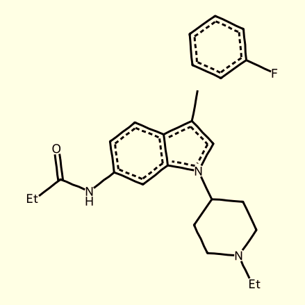 CCC(=O)Nc1ccc2c(C)cn(C3CCN(CC)CC3)c2c1.Fc1ccccc1